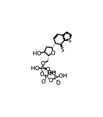 O=P(O)(O)OP(=O)(O)OP(=O)(O)OC[C@H]1O[C@@H](C2C=Cc3ccsc3C2=S)CC1O